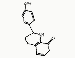 COc1ccc(C2CCC3=C(N2)C(=O)CC=C3)cc1